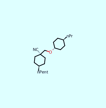 CCCCC[C@H]1CC[C@@](C#N)(CO[C@H]2CC[C@H](CCC)CC2)CC1